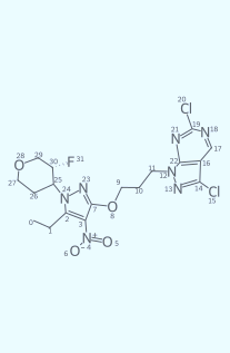 CCc1c([N+](=O)[O-])c(OCCCn2nc(Cl)c3cnc(Cl)nc32)nn1C1CCOC[C@@H]1F